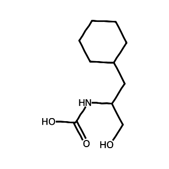 O=C(O)NC(CO)CC1CCCCC1